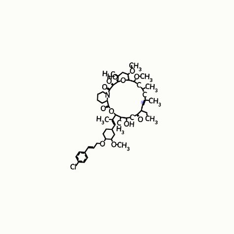 CCC1/C=C(\C)CC(C)CC(OC)C2OC(O)(C(=O)C(=O)N3CCCCC3C(=O)OC(C(C)=CC3CCC(OCC=Cc4ccc(Cl)cc4)C(OC)C3)C(C)C(O)CC1=O)C(C)CC2OC